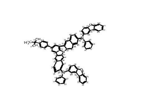 CC(C)(C)c1ccc(-c2cc3c4cc5ccc(N(c6ccccc6)c6ccc7oc8ccccc8c7c6)cc5cc4n4c5cc6cc(N(c7ccccc7)c7ccc8oc9ccccc9c8c7)ccc6cc5c(c2)c34)cc1